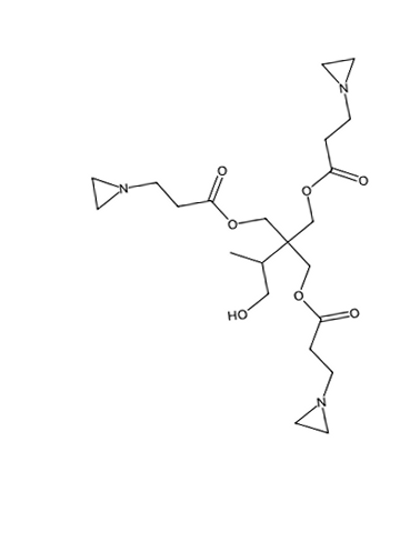 CC(CO)C(COC(=O)CCN1CC1)(COC(=O)CCN1CC1)COC(=O)CCN1CC1